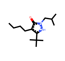 CCCCc1c(C(C)(C)C)[nH]n(CC(C)C)c1=O